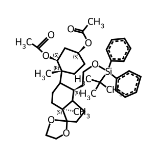 CC(=O)O[C@H]1CC[C@](C)(C2CC[C@@]3(C)C(CCC34OCCO4)[C@@H]2CCO[Si](c2ccccc2)(c2ccccc2)C(C)(C)C)[C@@H](OC(C)=O)C1